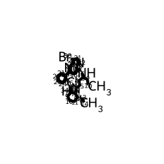 CCCC(CCN1C[C@@H]2CCC[C@H](CC)C21)Nc1cc(-c2ccccc2Cl)nc2c(Br)cnn12